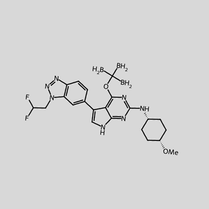 BC(B)(B)Oc1nc(N[C@H]2CC[C@@H](OC)CC2)nc2[nH]cc(-c3ccc4nnn(CC(F)F)c4c3)c12